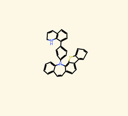 C1=Cc2cccc(-c3ccc(N4c5ccccc5C=Cc5ccc6c(sc7ccccc76)c54)cc3)c2NC1